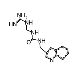 N=C(N)NCNC(=O)NCc1cnc2ccccc2c1